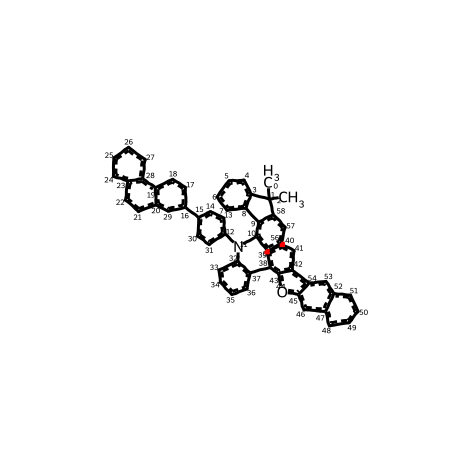 CC1(C)c2ccccc2-c2c(N(c3ccc(-c4ccc5c(ccc6ccccc65)c4)cc3)c3ccccc3-c3cccc4c3oc3cc5ccccc5cc34)cccc21